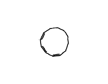 [C]1=CCCCCCCC=CC=C1